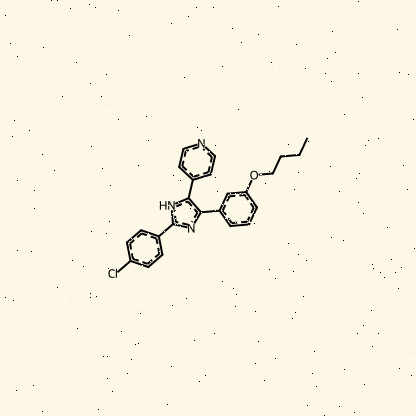 CCCCOc1cccc(-c2nc(-c3ccc(Cl)cc3)[nH]c2-c2ccncc2)c1